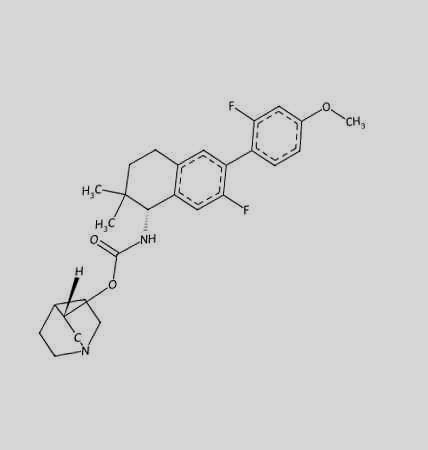 COc1ccc(-c2cc3c(cc2F)[C@H](NC(=O)O[C@@H]2CN4CCC2CC4)C(C)(C)CC3)c(F)c1